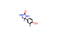 Cc1cc(C2(C)CNC(=O)N2)ccc1O